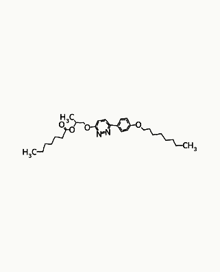 CCCCCCCCOc1ccc(-c2ccc(OCC(C)OC(=O)CCCCCC)nn2)cc1